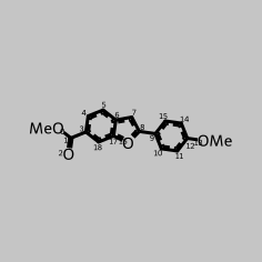 COC(=O)c1ccc2cc(-c3ccc(OC)cc3)oc2c1